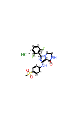 CS(=O)(=O)c1ccc(Nc2nc(-c3c(F)cccc3F)n3c2C(=O)NCC3)cc1.Cl